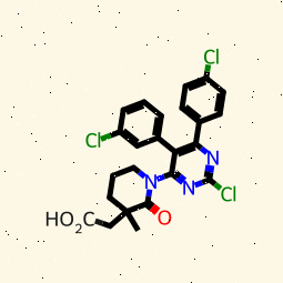 CC1(CC(=O)O)CCCN(c2nc(Cl)nc(-c3ccc(Cl)cc3)c2-c2cccc(Cl)c2)C1=O